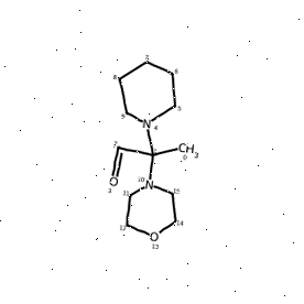 CC([C]=O)(N1CCCCC1)N1CCOCC1